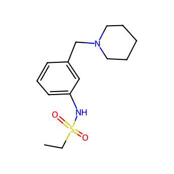 CCS(=O)(=O)Nc1cccc(CN2CCCCC2)c1